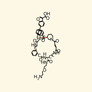 NCCOCCNC(=O)[C@@H]1CCNC(=O)/C=C/C(=O)N2CCC[C@@](C(=O)c3ccccc3)(CN[C@@H](Cc3ccc(-c4ccc5c(C(=O)O)coc5c4)cc3)C(=O)NCc3ccccc3CC(=O)N1)C2